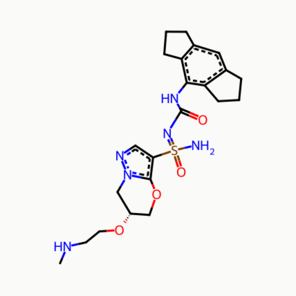 CNCCO[C@H]1COc2c(S(N)(=O)=NC(=O)Nc3c4c(cc5c3CCC5)CCC4)cnn2C1